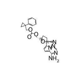 N#C[C@]1(c2ccc3c(N)ncnn23)CC[C@@H](COC(=O)OCC2(c3ccccc3)CC2)O1